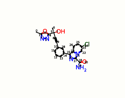 Cc1nnc([C@](C)(O)C#Cc2cccc(-c3nc(C(N)=O)n4cc(Cl)ccc34)c2)o1